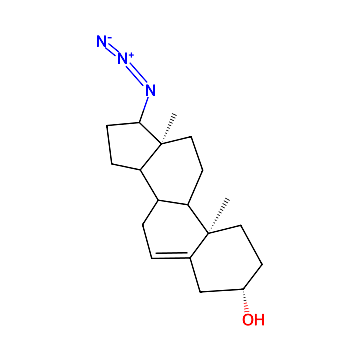 C[C@]12CCC3C(CC=C4C[C@@H](O)CC[C@@]43C)C1CCC2N=[N+]=[N-]